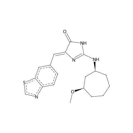 CO[C@@H]1CCCC[C@H](NC2=N/C(=C\c3ccc4ncsc4c3)C(=O)N2)C1